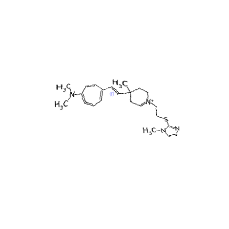 CN(C)C1=C=CC=C(/C=C/C2(C)CC=[N+](CCSc3nccn3C)CC2)C=C1